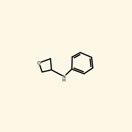 [c]1ccccc1NC1COC1